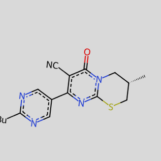 C[C@@H]1CSc2nc(-c3cnc(C(C)(C)C)nc3)c(C#N)c(=O)n2C1